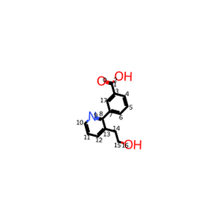 O=C(O)c1cccc(-c2ncccc2CCO)c1